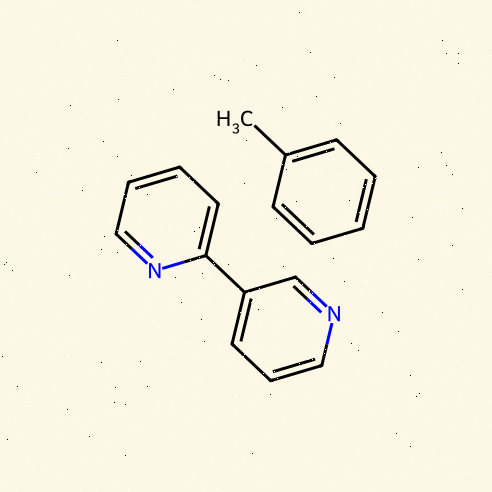 Cc1ccccc1.c1ccc(-c2cccnc2)nc1